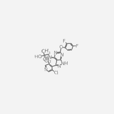 CC(C)(O)CNc1nc(Oc2ccc(F)cc2F)nc2[nH]nc(-c3c(Cl)cncc3Cl)c12